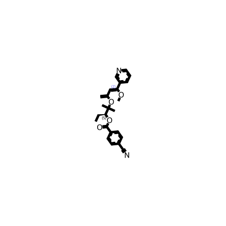 C=C(/C=C(\OC)c1cccnc1)OC(C)(C)[C@H](CC)OC(=O)c1ccc(C#N)cc1